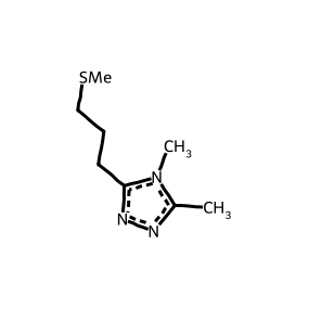 CSCCCc1nnc(C)n1C